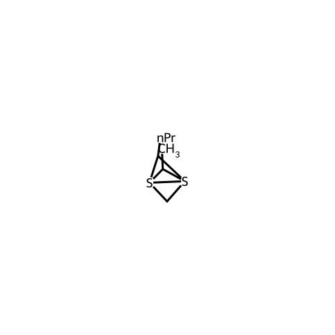 CCCC1S23CS12C3C